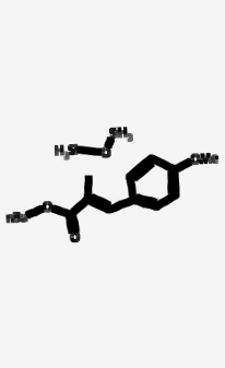 CCCCOC(=O)/C(C)=C/c1ccc(OC)cc1.[SiH3]O[SiH3]